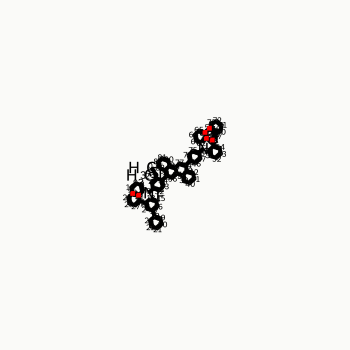 C[Si]1(C)c2cc(N(c3ccccc3)c3c(F)cc(-c4ccccc4)cc3-c3ccccc3)ccc2-c2cc3c4ccccc4c(-c4ccc(N(c5ccccc5-c5ccccc5)c5cccc6c5oc5ccccc56)cc4)cc3c3cccc1c23